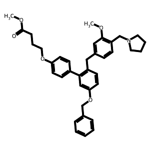 COC(=O)CCCOc1ccc(-c2cc(OCc3ccccc3)ccc2Cc2ccc(CN3CCCC3)c(OC)c2)cc1